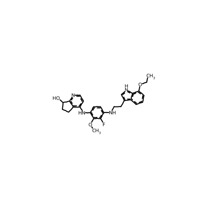 CCOc1cccc2c(CCNc3ccc(Nc4ccnc5c4CCC5O)c(OC)c3F)c[nH]c12